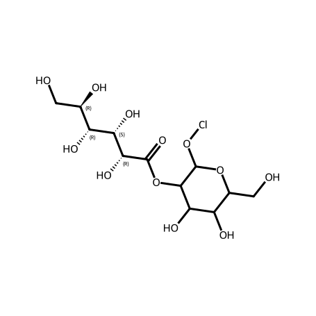 O=C(OC1C(OCl)OC(CO)C(O)C1O)[C@H](O)[C@@H](O)[C@H](O)[C@H](O)CO